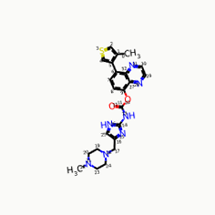 Cc1cscc1-c1ccc(OC(=O)Nc2nc(CN3CCN(C)CC3)c[nH]2)c2nccnc12